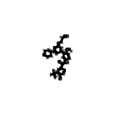 Cc1ccc(NC(=O)c2cc(C(F)(F)F)c(Cl)cn2)cc1-c1cc(OCCO)nc(C2CCOCC2)c1